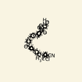 Cc1c(N2CCC3(CCN(c4ccc(C(=O)N5CCN(CC6CCN(c7cc8c(cc7F)C(=O)N(C7CCC(=O)NC7=O)C8=O)CC6)CC5)cc4)CC3)C2)ccc(C#N)c1Cl